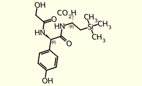 C[Si](C)(C)C[C@H](NC(=O)[C@H](NC(=O)CO)c1ccc(O)cc1)C(=O)O